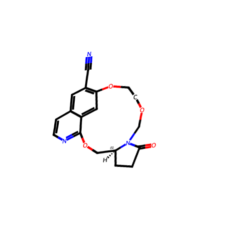 N#Cc1cc2ccnc3c2cc1OCCOCN1C(=O)CC[C@H]1CO3